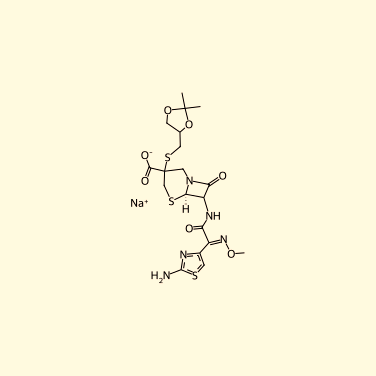 CON=C(C(=O)NC1C(=O)N2CC(SCC3COC(C)(C)O3)(C(=O)[O-])CS[C@H]12)c1csc(N)n1.[Na+]